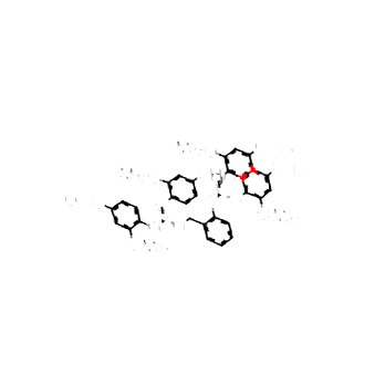 COc1cc(C=O)ccc1OP(OCc1ccccc1OP(Oc1ccc(C=O)cc1OC)Oc1ccc(C=O)cc1OC)Oc1ccc(C=O)cc1OC